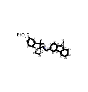 CCOC(=O)c1ccc2c(c1)C(C)(C)C1(/C=C/c3ccc4c(c3)c3ccccc3n4C)OCCN21